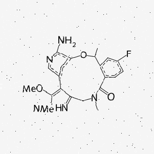 CN/C(OC)=C1\C(=N)CN(C)C(=O)c2ccc(F)cc2C(C)Oc2cc1cnc2N